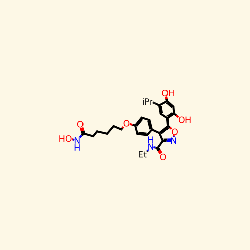 CCNC(=O)c1noc(-c2cc(C(C)C)c(O)cc2O)c1-c1ccc(OCCCCCC(=O)NO)cc1